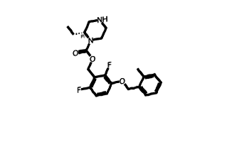 CC[C@@H]1CNCCN1C(=O)OCc1c(F)ccc(OCc2ccccc2C)c1F